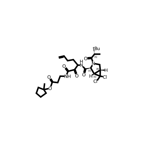 C=CCCC(NC(=O)[C@@H]1[C@@H]2[C@H](CN1C(=O)[C@@H](C)C(C)(C)C)C2(Cl)Cl)C(=O)C(=O)NCCC(=O)OC1(C)CCCC1